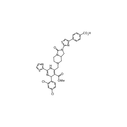 COC(=O)C1=C(CN2CCN3C(=O)N(c4nc(-c5ccc(C(=O)O)cc5)cs4)CC3C2)NC(c2nccs2)=NC1c1ccc(Cl)cc1Cl